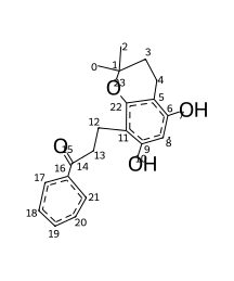 CC1(C)CCc2c(O)[c]c(O)c(CCC(=O)c3ccccc3)c2O1